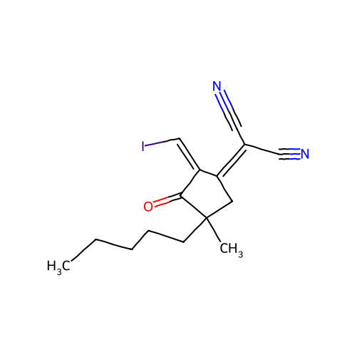 CCCCCC1(C)CC(=C(C#N)C#N)/C(=C/I)C1=O